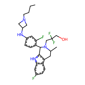 CCCCN1CC(Nc2ccc(C3c4[nH]c5cc(F)ccc5c4CC(C)N3CC(F)(F)CO)c(F)c2)C1